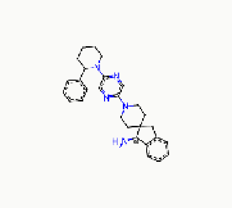 N[C@@H]1c2ccccc2CC12CCN(c1cnc(N3CCCCC3c3ccccc3)cn1)CC2